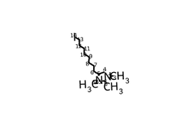 CC1N(C)CC(CCCCCCCCI)N1C